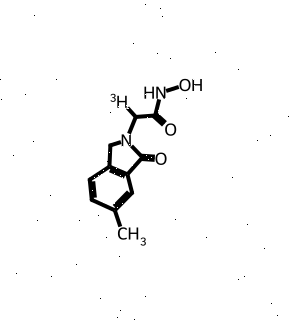 [3H]C(C(=O)NO)N1Cc2ccc(C)cc2C1=O